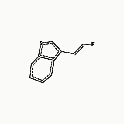 FC=Cc1csc2ccccc12